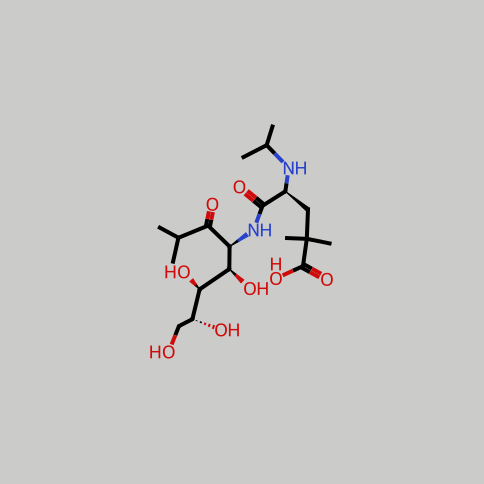 CC(C)N[C@@H](CC(C)(C)C(=O)O)C(=O)N[C@H](C(=O)C(C)C)[C@@H](O)[C@H](O)[C@H](O)CO